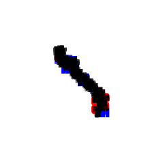 CNC(=O)CCC(C=O)N1C(=O)c2ccc(N3CC4(CCN(c5ncc(N6CCC(Nc7ncnc(N)c7C(=N)c7ccc(Oc8ccccc8)cc7)CC6)cn5)CC4)C3)cc2C1=O